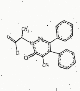 CC(C(=O)Cl)n1nc(-c2ccccc2)c(-c2ccccc2)c(C#N)c1=O